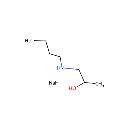 CCCCNCC(C)O.[NaH]